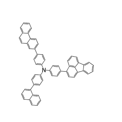 c1ccc2c(c1)-c1cccc3c(-c4ccc(N(c5ccc(-c6ccc7c(ccc8ccccc87)c6)cc5)c5ccc(-c6cccc7ccccc67)cc5)cc4)ccc-2c13